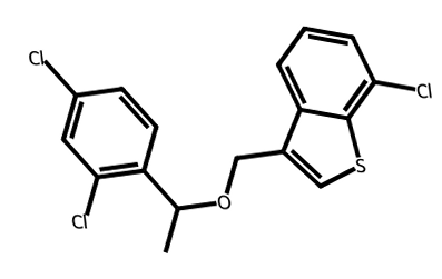 CC(OCc1csc2c(Cl)cccc12)c1ccc(Cl)cc1Cl